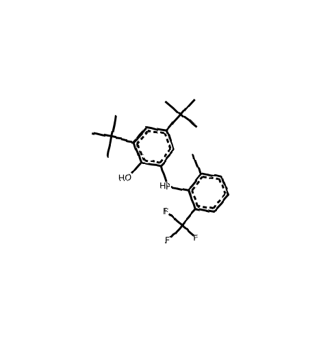 Cc1cccc(C(F)(F)F)c1Pc1cc(C(C)(C)C)cc(C(C)(C)C)c1O